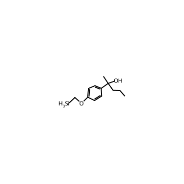 CCCC(C)(O)c1ccc(OC[SiH3])cc1